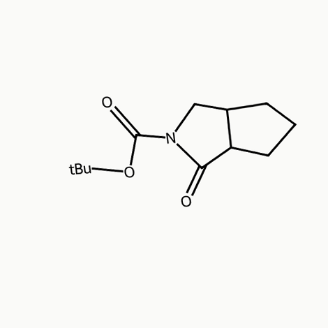 CC(C)(C)OC(=O)N1CC2CCCC2C1=O